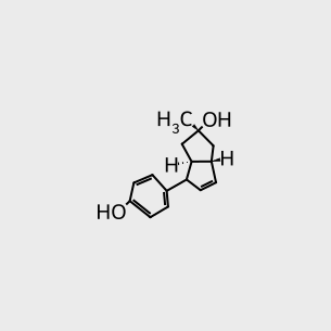 C[C@]1(O)C[C@@H]2C(c3ccc(O)cc3)C=C[C@H]2C1